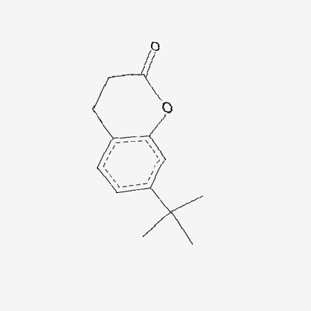 CC(C)(C)c1ccc2c(c1)OC(=O)CC2